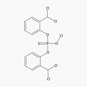 S=P(OCl)(Oc1ccccc1C(Cl)Cl)Oc1ccccc1C(Cl)Cl